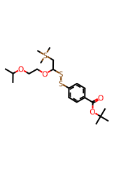 CC(C)OCCOC(CS(C)(C)C)SSc1ccc(C(=O)OC(C)(C)C)cc1